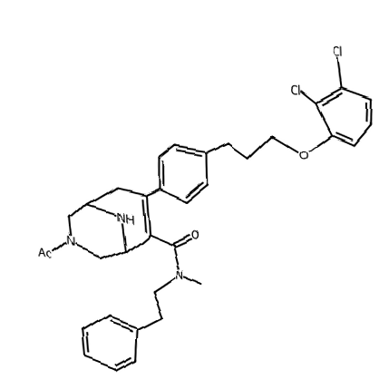 CC(=O)N1CC2CC(c3ccc(CCCOc4cccc(Cl)c4Cl)cc3)=C(C(=O)N(C)CCc3ccccc3)C(C1)N2